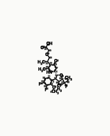 COc1c([C@H]2[C@H](c3cc(=O)c(C(C)COCC(=O)O)c(C)[nH]3)O[C@@](C)(C(F)(F)F)[C@H]2C)ccc(F)c1F